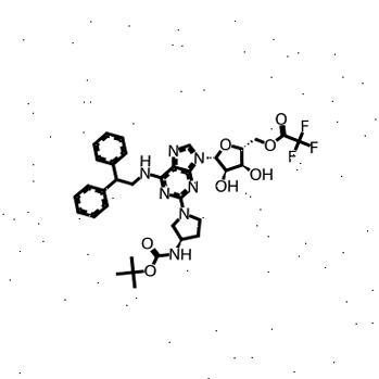 CC(C)(C)OC(=O)N[C@@H]1CCN(c2nc(NCC(c3ccccc3)c3ccccc3)c3ncn([C@@H]4O[C@H](COC(=O)C(F)(F)F)[C@@H](O)[C@H]4O)c3n2)C1